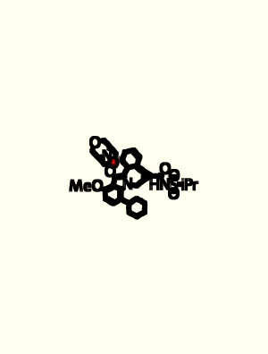 COc1ccc(C2CCCCC2)c2c1cc1n2CC2=C(C(=O)NS(=O)(=O)C(C)C)C2=C2C=CC[C@@H](C(=O)N3C4COCC3COC4)C21